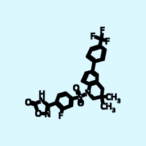 CC1(C)Cc2cc(-c3ccc(C(F)(F)F)cc3)ccc2N(S(=O)(=O)c2ccc(-c3noc(=O)[nH]3)c(F)c2)C1